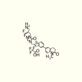 CN1C(=O)CCc2cc(-c3ccc4sc(Cn5cnn(CC(CN)=C(F)F)c5=O)cc4c3)ccc21.O=C(O)C(F)(F)F